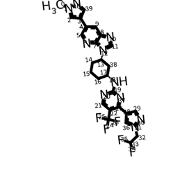 Cn1cc(-c2cnc3c(c2)ncn3[C@H]2CCC[C@@H](Nc3ncc(C(F)(F)F)c(-c4cnn(CC(F)F)c4)n3)C2)cn1